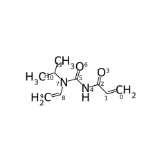 C=CC(=O)NC(=O)N(C=C)C(C)C